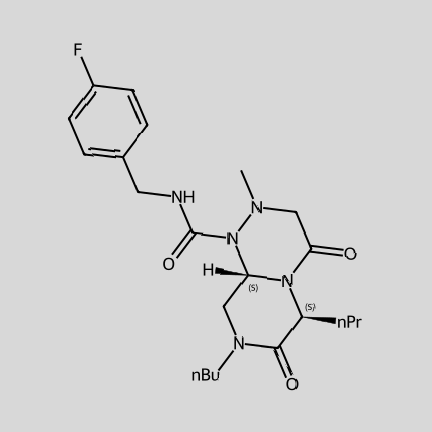 CCCCN1C[C@H]2N(C(=O)CN(C)N2C(=O)NCc2ccc(F)cc2)[C@@H](CCC)C1=O